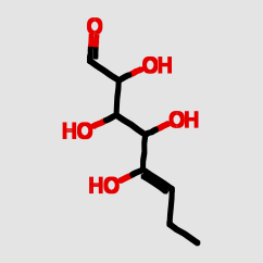 CCC=C(O)C(O)C(O)C(O)C=O